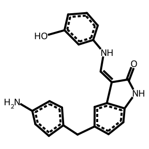 Nc1ccc(Cc2ccc3c(c2)C(=CNc2cccc(O)c2)C(=O)N3)cc1